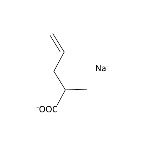 C=CCC(C)C(=O)[O-].[Na+]